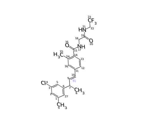 Cc1cc(Cl)cc(C(C)/C=C/c2ccc(C(=O)NCC(=O)NCC(F)(F)F)c(C)c2)c1